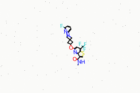 CNC(=O)c1csc2c(C(F)(F)F)cc(OC3CC4(C3)CN(c3cccc(F)n3)C4)nc12